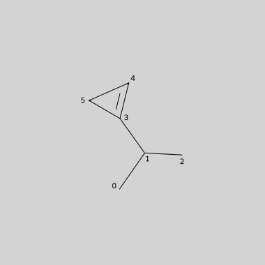 CC(C)C1=CC1